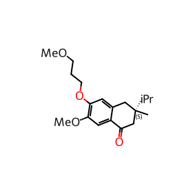 COCCCOc1cc2c(cc1OC)C(=O)C[C@@](C)(C(C)C)C2